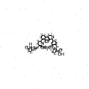 COc1cc(-c2nccc(-c3cccc(-c4ccc(CNC[C@@H]5CCC(=O)N5)c(OC)n4)c3Cl)c2Cl)ccc1CN1CCC[C@@H]1C(=O)O